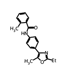 CCc1nc(-c2ccc(NC(=O)c3ccccc3C)cc2)c(C)o1